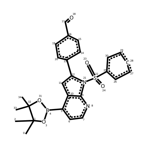 CC1(C)OB(c2ccnc3c2cc(-c2ccc(C=O)cc2)n3S(=O)(=O)c2ccccc2)OC1(C)C